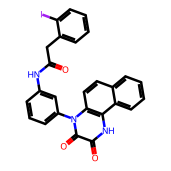 O=C(Cc1ccccc1I)Nc1cccc(-n2c(=O)c(=O)[nH]c3c4ccccc4ccc32)c1